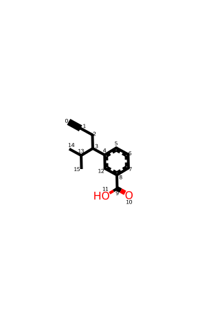 C#CCC(c1cccc(C(=O)O)c1)C(C)C